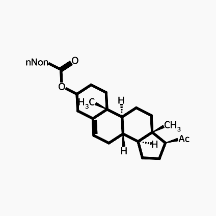 CCCCCCCCCC(=O)OC1CC[C@@]2(C)C(=CC[C@H]3[C@@H]4CC[C@H](C(C)=O)[C@@]4(C)CC[C@@H]32)C1